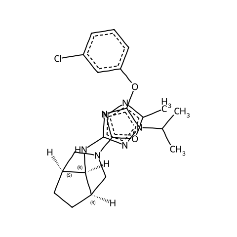 Cc1nnc(N2C[C@H]3CC[C@@H](C2)[C@H]3Nc2nc(Oc3cccc(Cl)c3)n(C(C)C)n2)o1